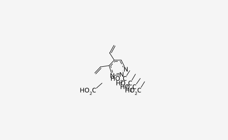 C=Cc1cnnnc1C=C.CC(=O)O.CC(=O)O.CC(=O)O.CC(=O)O.CC(=O)O